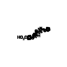 O=C(Nc1nnc(COC2CCCC2)s1)c1ccc(OC2CCC(C(=O)O)CC2)nc1